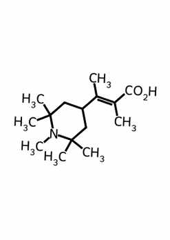 C/C(C(=O)O)=C(/C)C1CC(C)(C)N(C)C(C)(C)C1